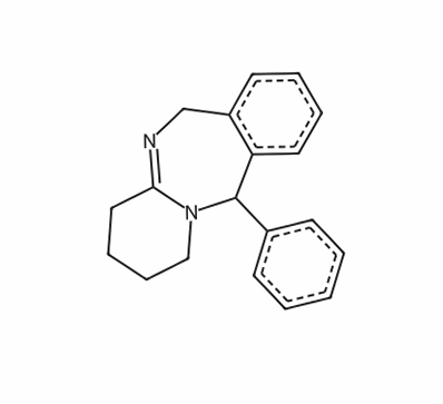 c1ccc(C2c3ccccc3CN=C3CCCCN32)cc1